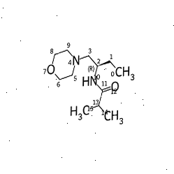 CC[C@H](CN1CCOCC1)NC(=O)C(C)C